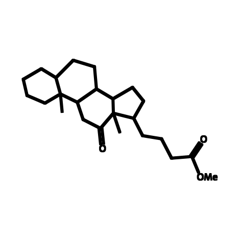 COC(=O)CCCC1CCC2C3CCC4CCCCC4(C)C3CC(=O)C12C